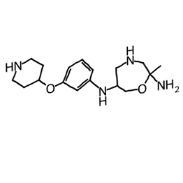 CC1(N)CNCC(Nc2cccc(OC3CCNCC3)c2)CO1